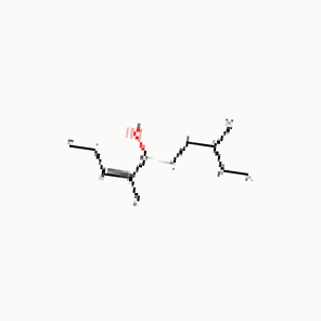 CCC=C(C)C(O)CCC(C)CC